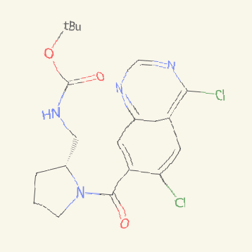 CC(C)(C)OC(=O)NC[C@H]1CCCN1C(=O)c1cc2ncnc(Cl)c2cc1Cl